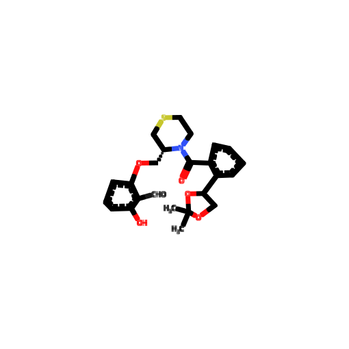 CC1(C)OCC(c2ccccc2C(=O)N2CCSC[C@H]2COc2cccc(O)c2C=O)O1